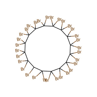 BrC1C(Br)(Br)C(Br)(Br)C(Br)(Br)C(Br)(Br)C(Br)(Br)C(Br)(Br)C(Br)(Br)C(Br)(Br)C(Br)(Br)C(Br)(Br)C(Br)(Br)C(Br)(Br)C(Br)(Br)C(Br)(Br)C1(Br)Br